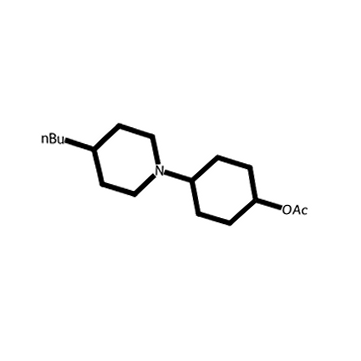 CCCCC1CCN(C2CCC(OC(C)=O)CC2)CC1